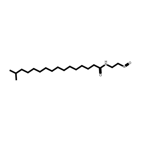 CC(C)CCCCCCCCCCCCCC(=O)NCCN=O